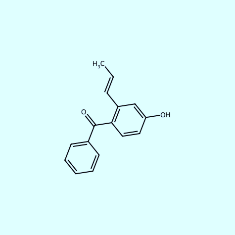 CC=Cc1cc(O)ccc1C(=O)c1ccccc1